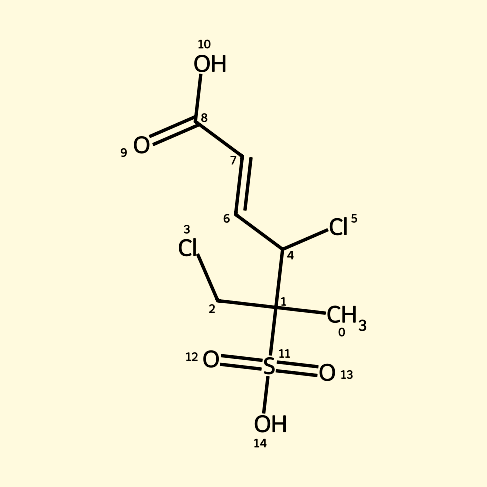 CC(CCl)(C(Cl)C=CC(=O)O)S(=O)(=O)O